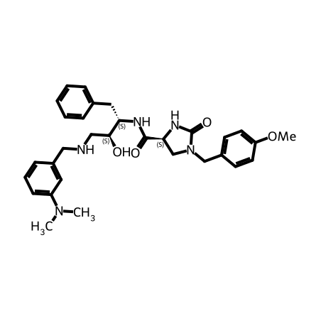 COc1ccc(CN2C[C@@H](C(=O)N[C@@H](Cc3ccccc3)[C@@H](O)CNCc3cccc(N(C)C)c3)NC2=O)cc1